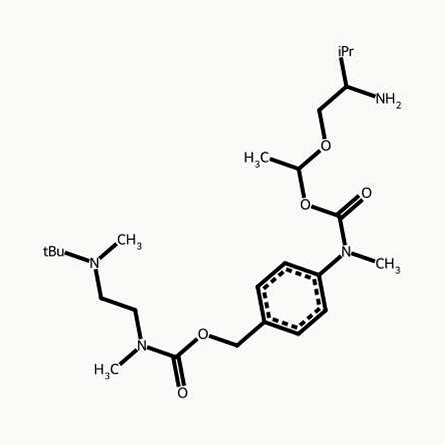 CC(OCC(N)C(C)C)OC(=O)N(C)c1ccc(COC(=O)N(C)CCN(C)C(C)(C)C)cc1